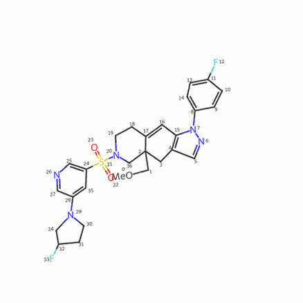 COCC12Cc3cnn(-c4ccc(F)cc4)c3C=C1CCN(S(=O)(=O)c1cncc(N3CCC(F)C3)c1)C2